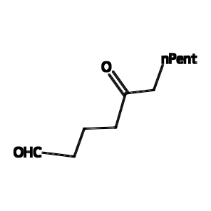 CCCCCCC(=O)CCCC=O